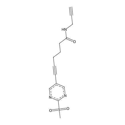 C#CCNC(=O)CCCC#Cc1cnc(S(C)(=O)=O)nc1